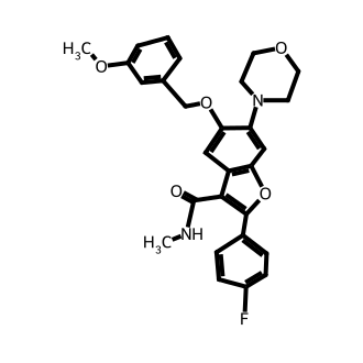 CNC(=O)c1c(-c2ccc(F)cc2)oc2cc(N3CCOCC3)c(OCc3cccc(OC)c3)cc12